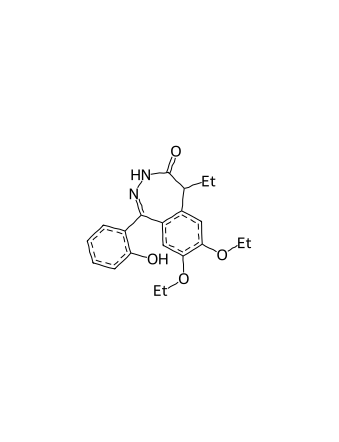 CCOc1cc2c(cc1OCC)C(CC)C(=O)NN=C2c1ccccc1O